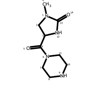 CN1CC(C(=O)N2CCNCC2)NC1=O